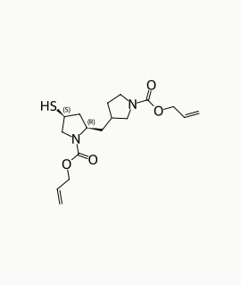 C=CCOC(=O)N1CCC(C[C@@H]2C[C@H](S)CN2C(=O)OCC=C)C1